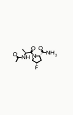 CC(=O)N[C@@H](C)C(=O)N1C[C@@H](F)C[C@H]1C(N)=O